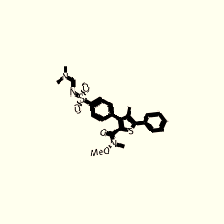 CON(C)C(=O)c1sc(-c2cc[c]cc2)c(C)c1-c1ccc(S(=O)(=O)N=CN(C)C)cc1